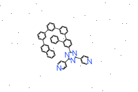 c1ccc(-c2cc(-c3nc(-c4ccncc4)nc(-c4ccncc4)n3)ccc2-c2cccc(-c3cccc(-c4cccc(-c5ccc6ccccc6c5)c4)c3)c2)cc1